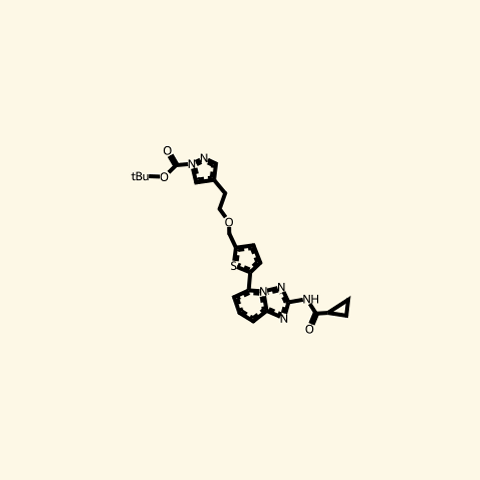 CC(C)(C)OC(=O)n1cc(CCOCc2ccc(-c3cccc4nc(NC(=O)C5CC5)nn34)s2)cn1